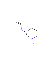 C=CNC1CCCN(C)C1